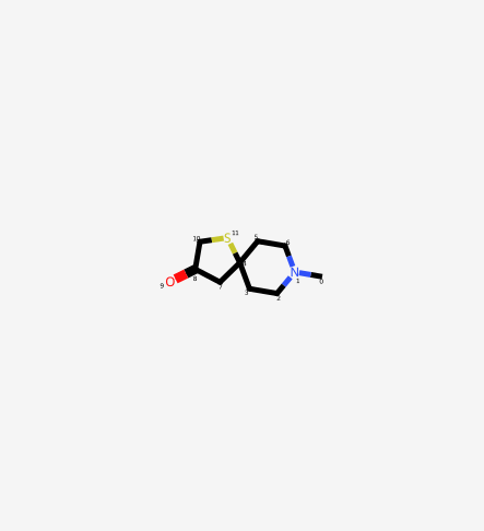 CN1CCC2(CC1)CC(=O)CS2